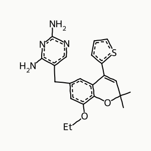 CCOc1cc(Cc2cnc(N)nc2N)cc2c1OC(C)(C)C=C2c1cccs1